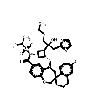 CCCC[C@](O)(Cc1nccs1)[C@@H]1CC[C@H]1CN1C[C@@]2(CCCc3cc(Cl)ccc32)COc2ccc(C(=O)NS(=O)(=O)C(C)C)cc21